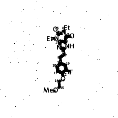 CCn1c(=O)c2[nH]c(/C=C/c3ccc(OCCOC)c(F)c3)nc2n(CC)c1=O